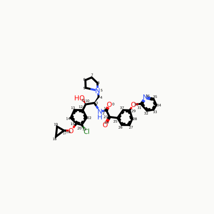 O=C(N[C@H](CN1CCCC1)[C@H](O)c1ccc(OC2CC2)c(Cl)c1)C(=O)c1cccc(Oc2ccccn2)c1